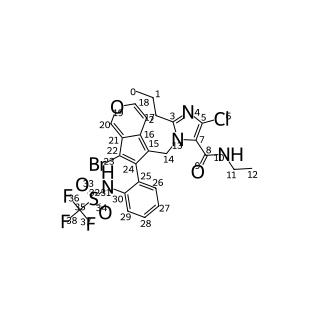 CCCc1nc(Cl)c(C(=O)NCC)n1Cc1c2ccocc-2c(Br)c1-c1ccccc1NS(=O)(=O)C(F)(F)F